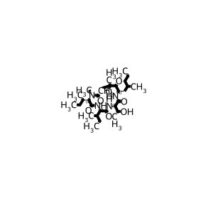 CCCC(C)C[C@H](NC(=O)[C@@H](NC(=O)[C@@H](NC(=O)[C@H](C(C)CC)N(C)C(C)=O)C(C)CC)C(C)O)C(=O)C1(C)CO1